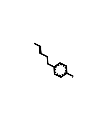 [CH2]C=CCCc1ccc(F)cc1